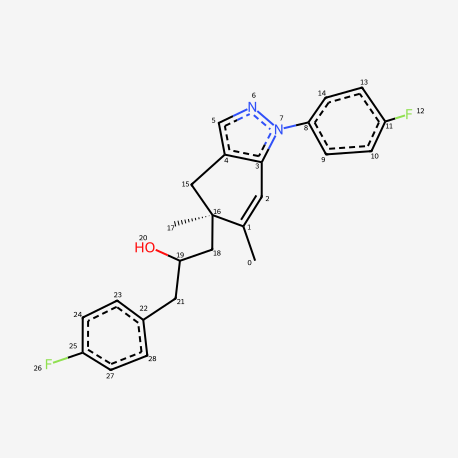 CC1=Cc2c(cnn2-c2ccc(F)cc2)C[C@]1(C)CC(O)Cc1ccc(F)cc1